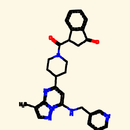 Bc1cnn2c(NCc3cccnc3)cc(C3CCN(C(=O)C4CC(=O)c5ccccc54)CC3)nc12